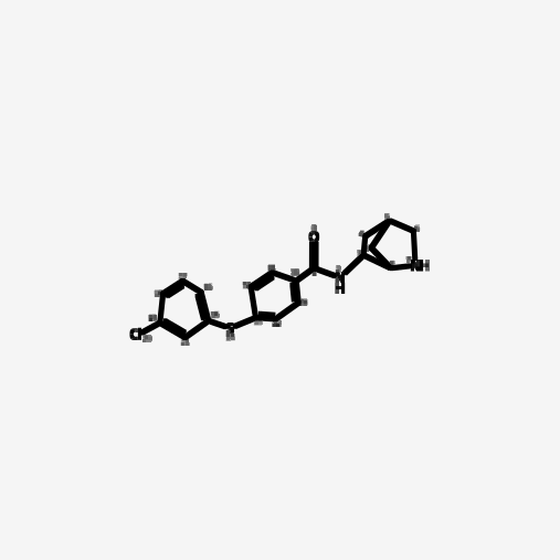 O=C(NC1CC2CNC1C2)c1ccc(Sc2cccc(Cl)c2)cc1